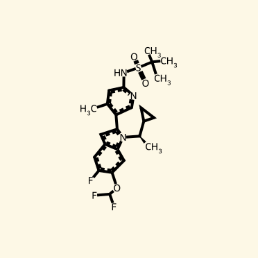 Cc1cc(NS(=O)(=O)C(C)(C)C)ncc1-c1cc2cc(F)c(OC(F)F)cc2n1[C@H](C)C1CC1